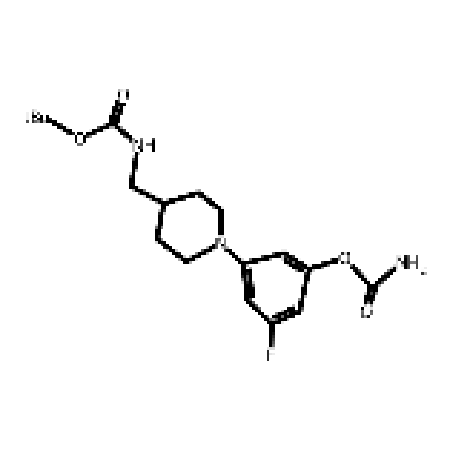 CC(C)(C)OC(=O)NCC1CCN(c2cc(F)cc(OC(N)=O)c2)CC1